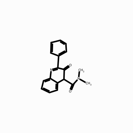 CN(C)C(=O)C1C(=O)C(c2ccccc2)=Nc2ccccc21